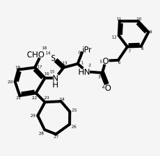 CC(C)C(NC(=O)OCc1ccccc1)C(=S)Nc1c(C=O)cccc1C1CCCCCC1